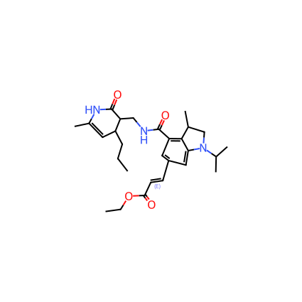 CCCC1C=C(C)NC(=O)C1CNC(=O)c1cc(/C=C/C(=O)OCC)cc2c1C(C)CN2C(C)C